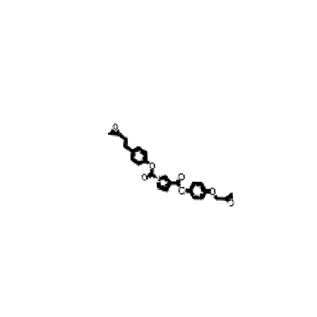 O=C(Oc1ccc(OCC2CO2)cc1)c1ccn(C(=O)Oc2ccc(CCC3CO3)cc2)c1